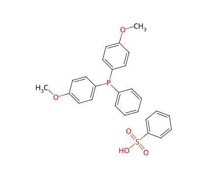 COc1ccc(P(c2ccccc2)c2ccc(OC)cc2)cc1.O=S(=O)(O)c1ccccc1